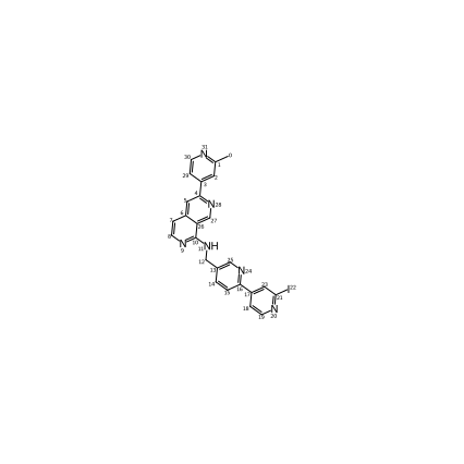 Cc1cc(-c2cc3ccnc(NCc4ccc(-c5ccnc(I)c5)nc4)c3cn2)ccn1